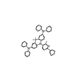 Cc1nc(-c2ccccc2)ccc1N1c2ccc(N(c3ccccc3)c3ccccc3)cc2C(C)(C)c2cc(N(c3ccccc3)c3ccccc3)ccc21